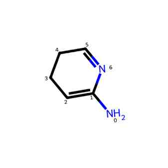 NC1=CCCC=N1